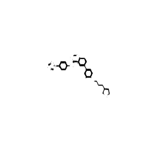 Fc1cc(-c2ccc3ncnc(Nc4ccc(-n5cncn5)cc4)c3c2)ccc1OCCCC1CCNC1